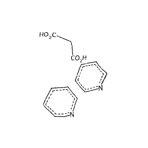 O=C(O)CC(=O)O.c1ccncc1.c1ccncc1